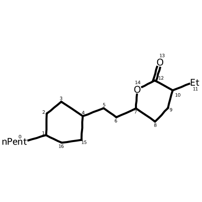 CCCCCC1CCC(CCC2CCC(CC)C(=O)O2)CC1